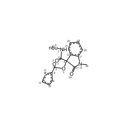 CCCCNC(=O)C1(OC(=O)c2cccs2)C(=O)N(C)c2ccccc21